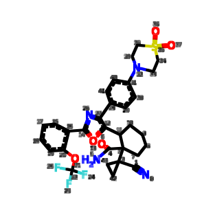 N#CC1(C2(C(N)=O)CCCCC2c2oc(-c3ccccc3OC(F)(F)F)nc2-c2ccc(N3CCS(=O)(=O)CC3)cc2)CC1